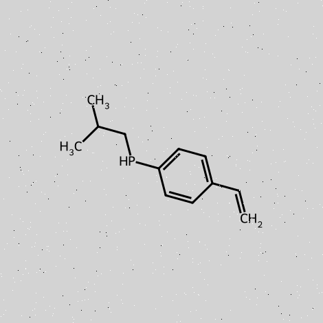 C=Cc1ccc(PCC(C)C)cc1